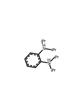 CC(C)[SiH](c1ccccc1[SiH](C(C)C)C(C)C)C(C)C